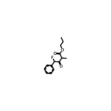 CCCOC(=O)C(C)C(=O)C(F)c1ccccc1